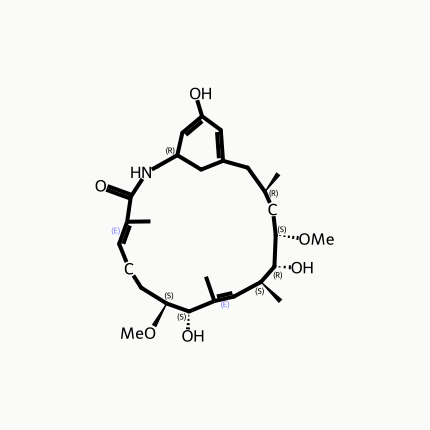 CO[C@H]1C[C@H](C)CC2=CC(O)=C[C@@](C)(C2)NC(=O)/C(C)=C/CC[C@H](OC)[C@@H](O)/C(C)=C/[C@H](C)[C@H]1O